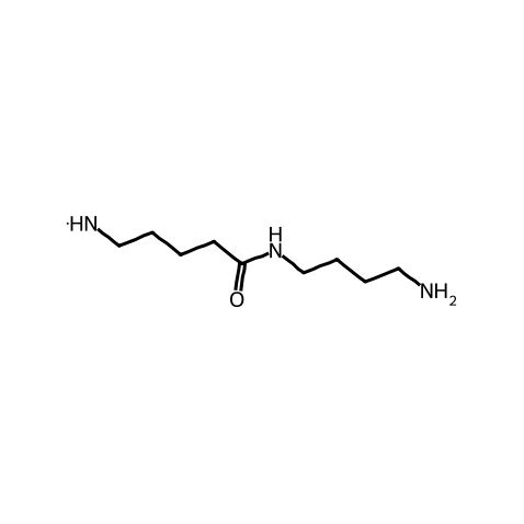 [NH]CCCCC(=O)NCCCCN